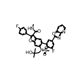 CNC(=O)c1c(-c2ccc(F)cc2)oc2cc(N(CC(C)(C)O)S(C)(=O)=O)c(-c3cc(F)cc(-c4nc5ncccc5o4)c3)cc12